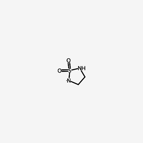 O=S1(=O)[N]CCN1